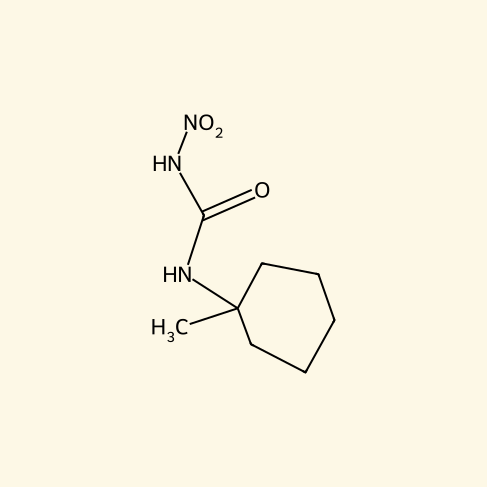 CC1(NC(=O)N[N+](=O)[O-])CCCCC1